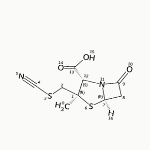 C[C@@]1(CSC#N)S[C@@H]2CC(=O)N2[C@H]1C(=O)O